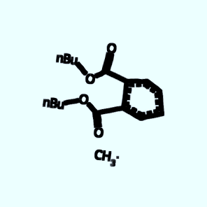 CCCCOC(=O)c1ccccc1C(=O)OCCCC.[CH3]